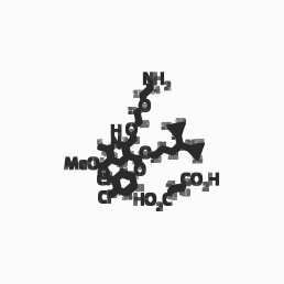 COC(=O)C1=C(C)NC(COCCOCCN)=C(C(=O)OCCCC(C2CC2)C2CC2)[C@@H]1c1cccc(Cl)c1Cl.O=C(O)/C=C/C(=O)O